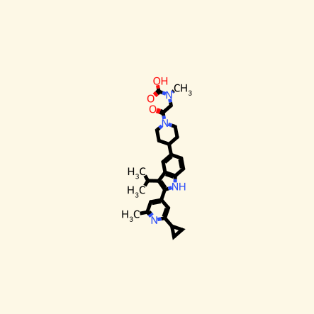 Cc1cc(-c2[nH]c3ccc(C4CCN(C(=O)CN(C)C(=O)O)CC4)cc3c2C(C)C)cc(C2CC2)n1